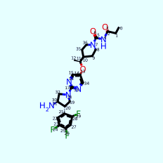 CCC(=O)NC(=O)N1CCC([C@H](C)Oc2cnc(N3C[C@H](c4cc(F)c(F)cc4F)[C@@H](N)C3)nc2)CC1